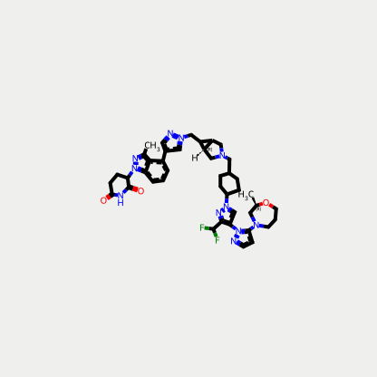 Cc1nn(C2CCC(=O)NC2=O)c2cccc(-c3cnn(CC4C5CN(CC6CCC(n7cc(-n8nccc8N8CCCO[C@H](C)C8)c(C(F)F)n7)CC6)C[C@H]54)c3)c12